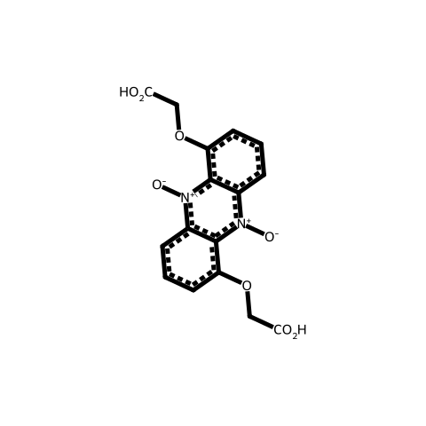 O=C(O)COc1cccc2c1[n+]([O-])c1cccc(OCC(=O)O)c1[n+]2[O-]